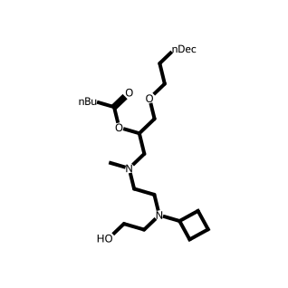 CCCCCCCCCCCCOCC(CN(C)CCN(CCO)C1CCC1)OC(=O)CCCC